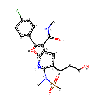 CNC(=O)c1c(-c2ccc(F)cc2)oc2nc(N(C)S(C)(=O)=O)c(CCCO)cc12